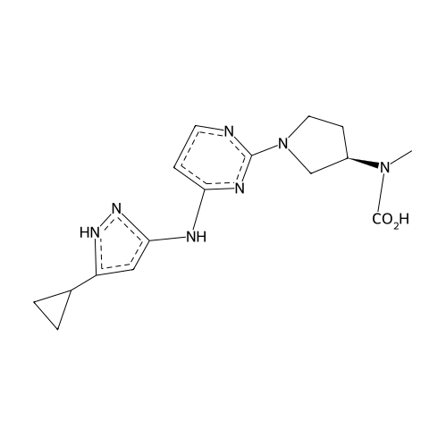 CN(C(=O)O)[C@@H]1CCN(c2nccc(Nc3cc(C4CC4)[nH]n3)n2)C1